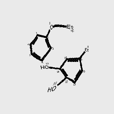 CCOc1ccccc1.CCc1ccc(O)c(O)c1